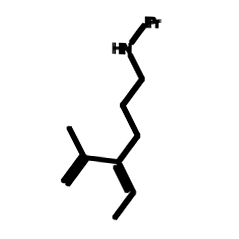 C=C(C)/C(=C\C)CCCNC(C)C